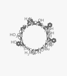 CCCC[C@H]1C(=O)N(C)[C@@H](CCCC)C(=O)N[C@@H](C)C(=O)N[C@H](C(N)=O)CSCC(=S)N[C@@H](Cc2ccc(O)cc2)C(=O)N(C)[C@@H](C)C(=O)N[C@@H](CC(=O)O)C(=O)N2CCC[C@H]2C(=O)N[C@@H](Cc2cnc[nH]2)C(=O)N[C@@H](CCCN)C(=O)N2C[C@H](O)C[C@H]2C(=O)N[C@@H](Cc2c[nH]c3ccccc23)C(=O)N[C@@H](CO)C(=O)N[C@@H](Cc2c[nH]c3ccccc23)C(=O)N1C